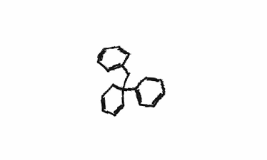 C1=CCC(Cc2ccccc2)(c2ccccc2)C=C1